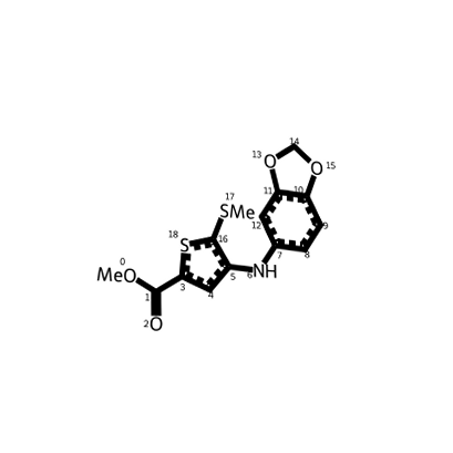 COC(=O)c1cc(Nc2ccc3c(c2)OCO3)c(SC)s1